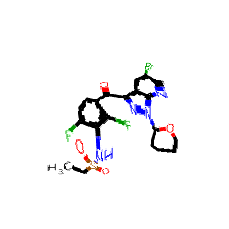 CCS(=O)(=O)Nc1c(F)ccc(C(=O)c2nn(C3CCCCO3)c3ncc(Br)cc23)c1F